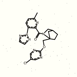 Cc1ccc(-n2nccn2)c(C(=O)N2CC3CCC2(COc2ncc(Cl)cn2)C3)n1